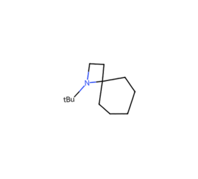 CC(C)(C)N1CCC12CCCCC2